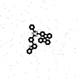 c1ccc(-c2nc(-c3cccc(-c4cccc5c4sc4ccccc45)c3)nc(-c3ccc4c(c3)C3(c5ccccc5-c5ccccc53)c3ccccc3-4)n2)cc1